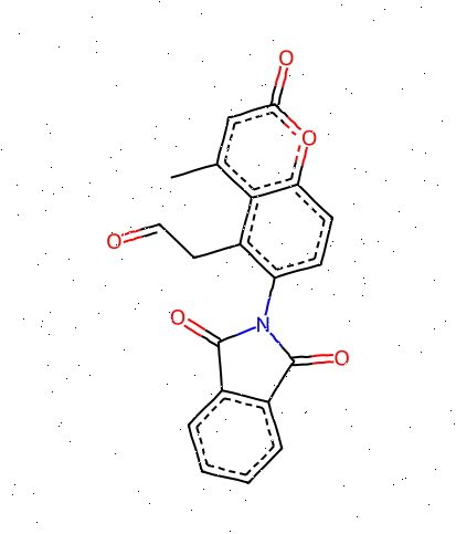 Cc1cc(=O)oc2ccc(N3C(=O)c4ccccc4C3=O)c(CC=O)c12